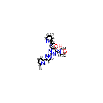 C/C(=C\c1nc(-n2ccc(-c3cccc(C)n3)n2)nc(N2CCOCC2)c1O)c1ccccn1